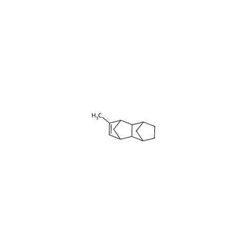 CC1=CC2CC1C1C3CCC(C3)C21